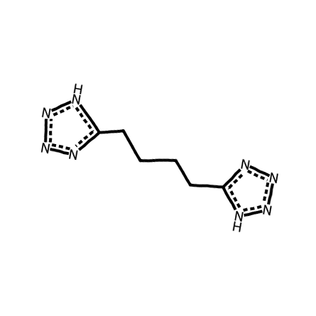 C(CCc1nnn[nH]1)Cc1nnn[nH]1